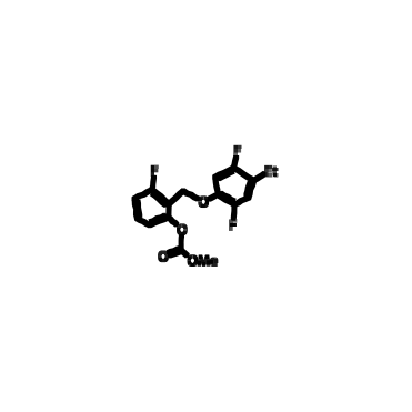 CCc1cc(F)c(OCc2c(F)cccc2OC(=O)OC)cc1F